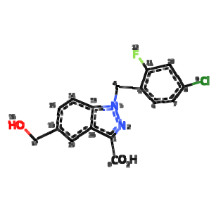 O=C(O)c1nn(Cc2ccc(Cl)cc2F)c2ccc(CO)cc12